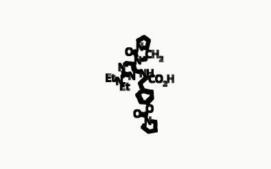 C=CN(C(=O)N1CCCC1)c1cnc(N(CC)CC)nc1N[C@@H](Cc1ccc(OC(=O)N2CCCC2)cc1)C(=O)O